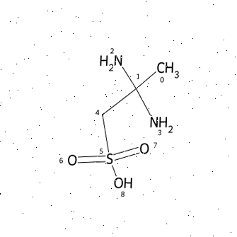 CC(N)(N)CS(=O)(=O)O